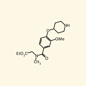 CCOC(=O)CN(C)C(=O)c1ccc(OC2CCNCC2)c(OC)c1